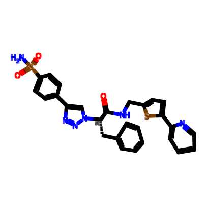 NS(=O)(=O)c1ccc(-c2cn([C@@H](Cc3ccccc3)C(=O)NCc3ccc(-c4ccccn4)s3)nn2)cc1